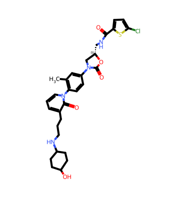 Cc1cc(N2C[C@H](CNC(=O)c3ccc(Cl)s3)OC2=O)ccc1-n1cccc(CCCNC2CCC(O)CC2)c1=O